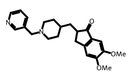 COc1cc2c(cc1OC)C(=O)C(CC1CCN(Cc3cccnc3)CC1)C2